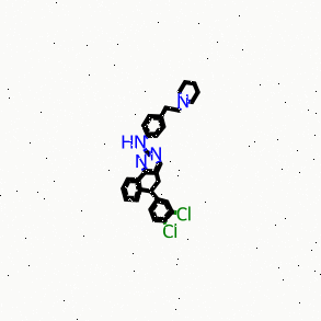 Clc1ccc(C2Cc3cnc(Nc4ccc(CCN5CCCCC5)cc4)nc3-c3ccccc32)cc1Cl